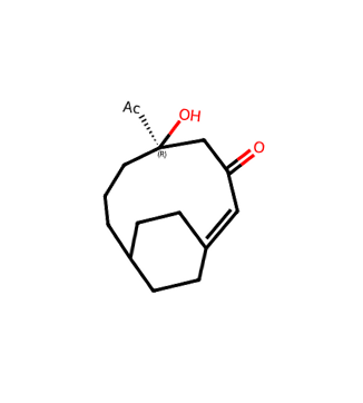 CC(=O)[C@@]1(O)CCCC2CCC(=CC(=O)C1)CC2